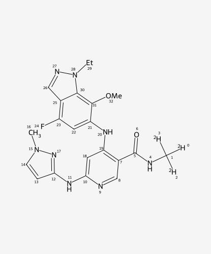 [2H]C([2H])([2H])NC(=O)c1cnc(Nc2ccn(C)n2)cc1Nc1cc(F)c2cnn(CC)c2c1OC